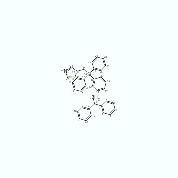 BC(c1ccccc1)c1ccccc1.c1ccc([Si](Cn2ccnc2)(c2ccccc2)c2ccccc2)cc1